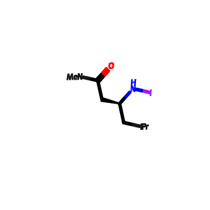 CNC(=O)C[C@H](CC(C)C)NI